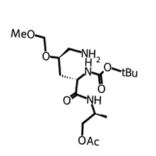 COCO[C@@H](CN)C[C@H](NC(=O)OC(C)(C)C)C(=O)N[C@@H](C)COC(C)=O